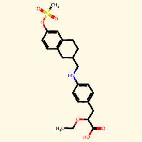 CCOC(Cc1ccc(NCC2CCc3cc(OS(C)(=O)=O)ccc3C2)cc1)C(=O)O